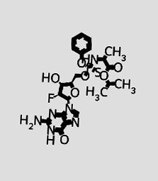 CC(C)OC(=O)C(C)NP(=S)(OC[C@H]1O[C@@H](n2cnc3c(=O)[nH]c(N)nc32)[C@H](F)[C@@H]1O)Oc1ccccc1